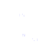 Nc1ccc2c(c1)N=CNC2